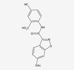 CC(=O)Oc1ccc2c(C(=O)Nc3ccc(C#N)cc3C(=O)O)noc2c1